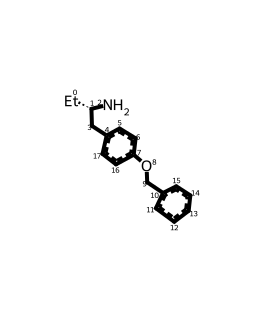 CC[C@H](N)Cc1ccc(OCc2ccccc2)cc1